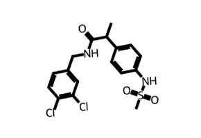 CC(C(=O)NCc1ccc(Cl)c(Cl)c1)c1ccc(NS(C)(=O)=O)cc1